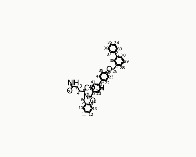 NC(=O)CC[C@@H](C(=O)O)N(Cc1ccccc1)C(=O)c1ccc(-c2ccc(OCc3cccc(-c4ccccc4)c3)cc2)cc1